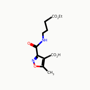 CCOC(=O)CCCNC(=O)c1noc(C)c1C(=O)O